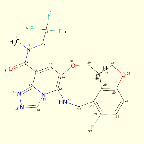 CN(CC(F)(F)F)C(=O)c1cc2c(n3cnnc13)NCc1c(F)ccc3c1[C@H](CO3)CO2